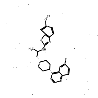 CCOc1ccc2nc(NC(C)C[C@H]3CC[C@@H](c4ccnc5ccc(F)cc54)CC3)oc2c1